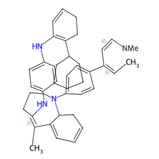 C/C=C(\C=C/NC)c1ccc(N2CCC/C(Nc3ccc(NC4=C(C5CCCCC5)CCC=C4)cc3)=C(\C)C3=CC=CCC32)cc1